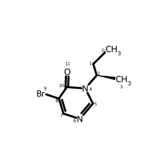 CC[C@@H](C)n1cncc(Br)c1=O